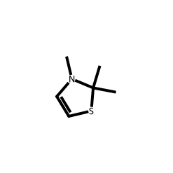 CN1C=CSC1(C)C